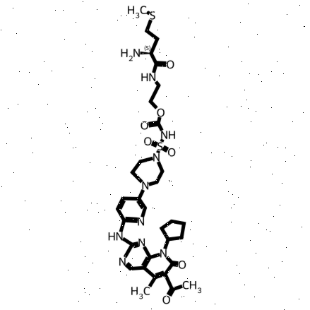 CSCC[C@H](N)C(=O)NCCOC(=O)NS(=O)(=O)N1CCN(c2ccc(Nc3ncc4c(C)c(C(C)=O)c(=O)n(C5CCCC5)c4n3)nc2)CC1